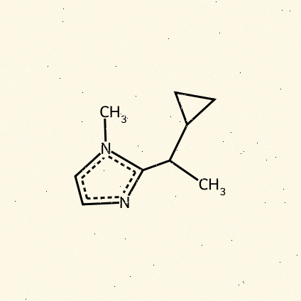 CC(c1nccn1C)C1CC1